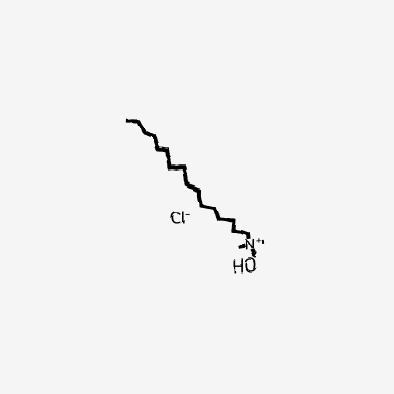 CCCCCCCCCCCCCCCC[N+](C)(C)CO.[Cl-]